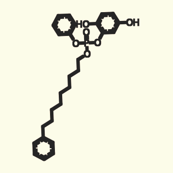 O=P(OCCCCCCCCCc1ccccc1)(Oc1ccccc1)Oc1cc(O)ccc1O